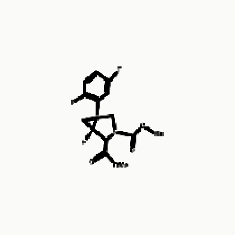 COC(=O)C1[C@@H]2C[C@]2(c2cc(F)ccc2F)CN1C(=O)OC(C)(C)C